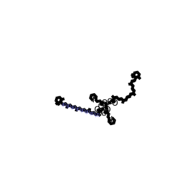 CC(C=CC=C(C)C=CC1=C(C)CCCC1(C)C)=CC=CC=C(C)C=CC=C(C)C(=O)OC[C@H](OC(=O)CCN1CCCCC1)[C@@H](COC(=O)\C(C)=C/C=C/C(C)=C/C=C/C=C(C)/C=C/C=C(C)/C=C/C1=C(C)CCCC1(C)C)OC(=O)CCN1CCCCC1